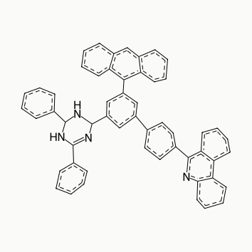 c1ccc(C2=NC(c3cc(-c4ccc(-c5nc6ccccc6c6ccccc56)cc4)cc(-c4c5ccccc5cc5ccccc45)c3)NC(c3ccccc3)N2)cc1